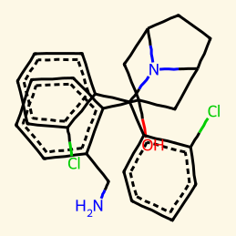 NCc1ccccc1C1(O)CC2CCC(C1)N2C(c1ccccc1Cl)c1ccccc1Cl